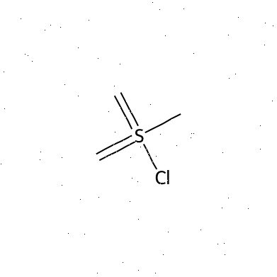 C=S(=C)(C)Cl